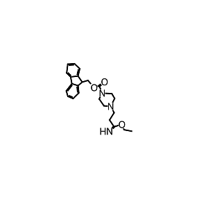 CCOC(=N)CCN1CCN(C(=O)OCC2c3ccccc3-c3ccccc32)CC1